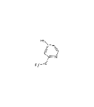 FC(F)(F)Oc1cc(S)ccn1